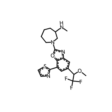 CNC1CCCCN(c2nc3cc(C(OC)C(F)(F)F)cc(-c4nccs4)c3o2)C1